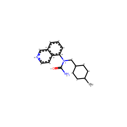 CC(C)(C)C1CCC(CN(C(N)=O)c2cccc3cnccc23)CC1